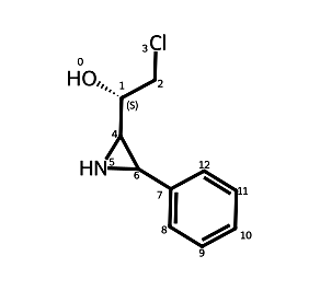 O[C@H](CCl)C1NC1c1ccccc1